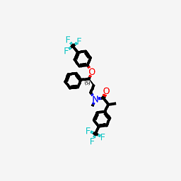 CC(C(=O)N(C)CC[C@H](Oc1ccc(C(F)(F)F)cc1)c1ccccc1)c1ccc(C(F)(F)F)cc1